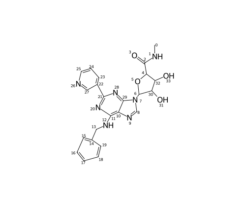 CNC(=O)C1OC(n2cnc3c(NCc4ccccc4)nc(-c4cccnc4)nc32)C(O)C1O